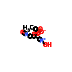 Cc1ccc(S(=O)(=O)[O-])cc1.O=c1oc2cc(N3CCOCC3)ccc2cc1-c1cc[n+](CCO)cc1